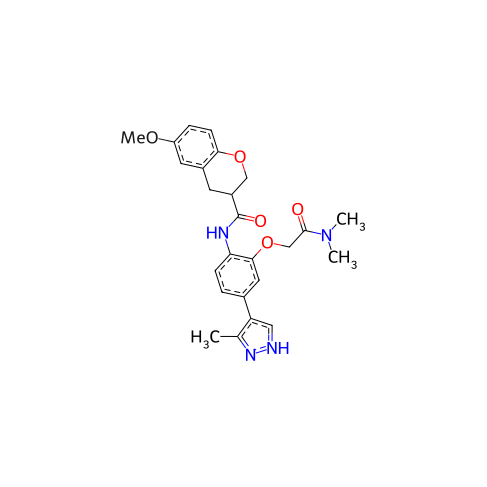 COc1ccc2c(c1)CC(C(=O)Nc1ccc(-c3c[nH]nc3C)cc1OCC(=O)N(C)C)CO2